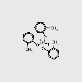 Cc1ccccc1[O][Hf]([I])([I])([O]c1ccccc1C)[O]c1ccccc1C